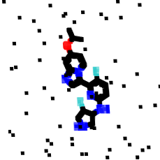 CC(C)Oc1ccn2c(-c3nc(NC4CNCC4F)ccc3F)cnc2c1